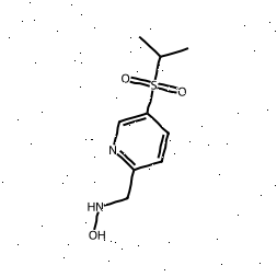 CC(C)S(=O)(=O)c1ccc(CNO)nc1